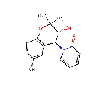 CC1(C)Oc2ccc(C#N)cc2[C@H](n2ccccc2=O)[C@H]1O